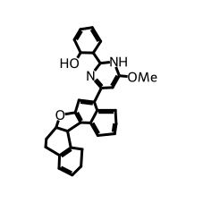 COC1=CC(c2cc3c(c4ccccc24)C2C4=C(C=CCC4)CCC2O3)=NC(C2C=CC=CC2O)N1